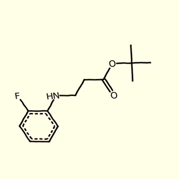 CC(C)(C)OC(=O)CCNc1ccccc1F